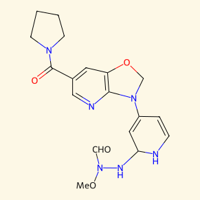 CON(C=O)NC1C=C(N2COc3cc(C(=O)N4CCCC4)cnc32)C=CN1